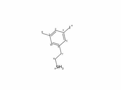 Cc1cc(I)cc(CC[SiH3])c1